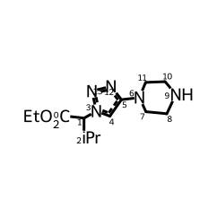 CCOC(=O)C(C(C)C)n1cc(N2CCNCC2)nn1